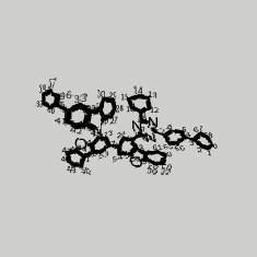 c1ccc(-c2ccc(-c3nc(-c4ccccc4)nc(-c4cc(-c5cc(-n6c7ccccc7c7cc(-c8ccccc8)ccc76)c6oc7ccccc7c6c5)cc5oc6ccccc6c45)n3)cc2)cc1